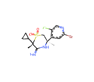 C[C@@]1(c2cc(Br)ncc2F)CS(=O)(=O)[C@@](C)(C2CC2)C(=N)N1